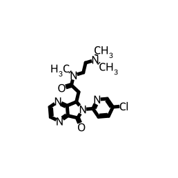 CN(C)CCN(C)C(=O)CC1c2nccnc2C(=O)N1c1ccc(Cl)cn1